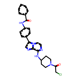 O=C(Nc1ccc(-c2cnc3c(NC4CCN(C(=O)CCl)CC4)nccn23)cc1)c1ccccc1